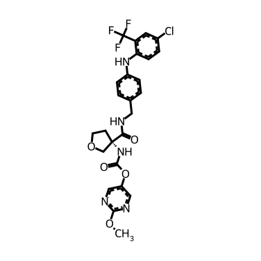 COc1ncc(OC(=O)N[C@@]2(C(=O)NCc3ccc(Nc4ccc(Cl)cc4C(F)(F)F)cc3)CCOC2)cn1